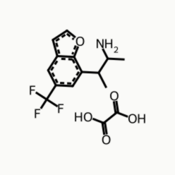 CC(N)C(C)c1cc(C(F)(F)F)cc2ccoc12.O=C(O)C(=O)O